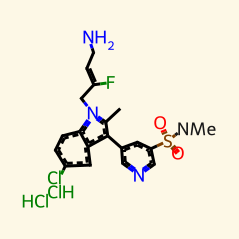 CNS(=O)(=O)c1cncc(-c2c(C)n(CC(F)=CCN)c3ccc(Cl)cc23)c1.Cl.Cl